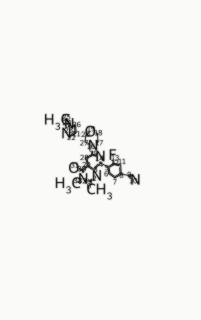 Cc1nc2c(-c3ccc(C#N)cc3F)nc(N3CCO[C@@H](c4cnn(C)c4)C3)cc2c(=O)n1C